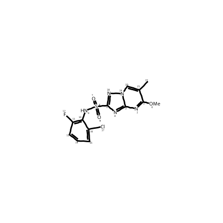 COc1nc2nc(S(=O)(=O)Nc3c(F)cccc3Cl)nn2cc1C